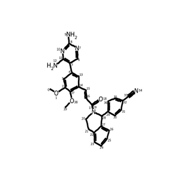 COc1cc(-c2cnc(N)nc2N)cc(C=CC(=O)N2CCc3ccccc3C2c2ccc(C#N)cc2)c1OC